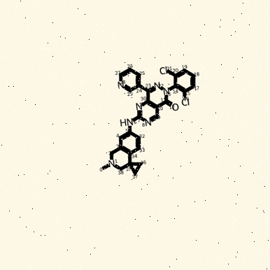 CN1Cc2cc(Nc3ncc4c(=O)n(-c5c(Cl)cccc5Cl)nc(-c5cccnc5)c4n3)ccc2C2(CC2)C1